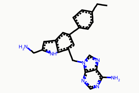 CCc1ccc(-c2cc(Cn3cnc4c(N)ncnc43)c3[nH]c(CN)cc3c2)cc1